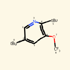 CC(C)(C)c1cnc(C(C)(C)C)c(OC(F)(F)F)c1